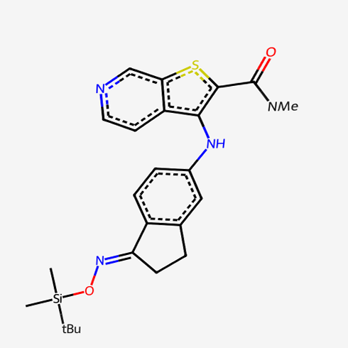 CNC(=O)c1sc2cnccc2c1Nc1ccc2c(c1)CCC2=NO[Si](C)(C)C(C)(C)C